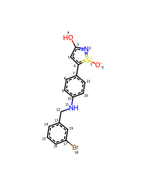 [O-][s+]1nc(O)cc1-c1ccc(NCc2cccc(Br)c2)cc1